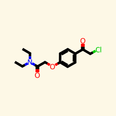 CCN(CC)C(=O)COc1ccc(C(=O)CCl)cc1